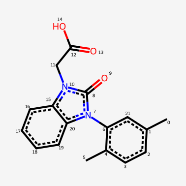 Cc1ccc(C)c(-n2c(=O)n(CC(=O)O)c3ccccc32)c1